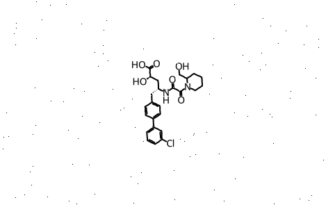 O=C(N[C@H](Cc1ccc(-c2cccc(Cl)c2)cc1)C[C@@H](O)C(=O)O)C(=O)N1CCCCC1CO